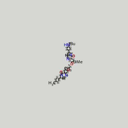 COc1cc2c(cc1OCCCOc1cc3c(cc1C)C(=O)N1C=C(c4ccc(C)cc4)C[C@H]1C=N3)N=C[C@@H]1CC(c3ccc(NC(C)(C)C)cc3)=CN1C2=O